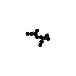 c1ccc(-c2ccc(-c3cc(-c4cccc(-c5ccc6c7cc8c(cc7n(-c7ccc9c(c7)sc7ccccc79)c6c5)-c5ccccc5C85CCCCC5)c4)nc(-c4ccccc4)n3)cc2)cc1